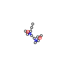 c1ccc(-c2ccc(-c3ccc(N(c4ccc(-c5ccc6c(c5)-c5ccc7c(oc8ccccc87)c5-c5cccc7c8ccccc8n-6c57)cc4)c4cccc5c4oc4ccccc45)cc3)cc2)cc1